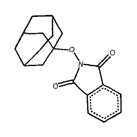 O=C1c2ccccc2C(=O)N1OC12CC3CC(CC(C3)C1)C2